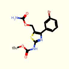 CC(C)(C)OC(=O)Nc1nc(-c2cccc(Br)c2)c(COC(N)=O)s1